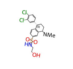 CNC1CC[C@@H](c2ccc(Cl)c(Cl)c2)c2ccc(S(=O)(=O)NCCO)cc21